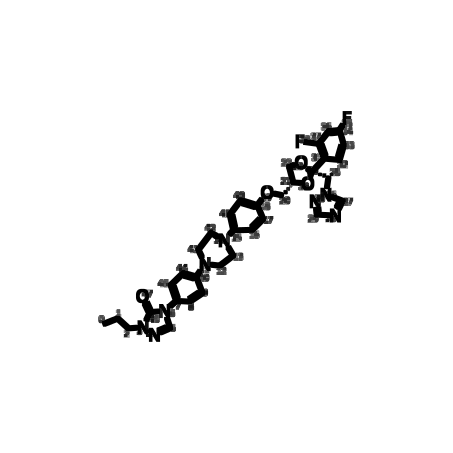 CCCn1ncn(-c2ccc(N3CCN(c4ccc(OC[C@@H]5CO[C@@](Cn6cncn6)(c6ccc(F)cc6F)O5)cc4)CC3)cc2)c1=O